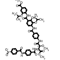 COC(=O)c1ccc(NC(=O)c2ccc(NC(=O)c3ccc(NC(=O)[C@@H](OC)[C@H](NC(=O)c4ccc(NC(=O)c5ccc([N+](=O)[O-])cc5)cc4)C(=O)OC)cc3)c(OC(C)C)c2O)c(OC(C)C)c1